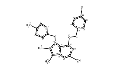 Cc1ccc(Cn2c(C)c(C)c3cc(C#N)nc(OCc4ccc(F)cc4)c32)cc1